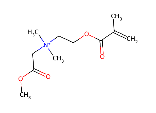 C=C(C)C(=O)OCC[N+](C)(C)CC(=O)OC